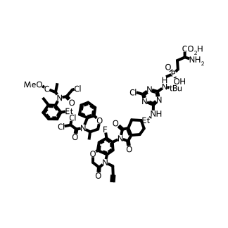 C#CCN1C(=O)COc2cc(F)c(N3C(=O)C4=C(CCCC4)C3=O)cc21.CC1COc2ccccc2N1C(=O)C(Cl)Cl.CCNc1nc(Cl)nc(NC(C)(C)C)n1.CCc1cccc(C)c1N(C(=O)CCl)C(C)COC.CP(=O)(O)CCC(N)C(=O)O